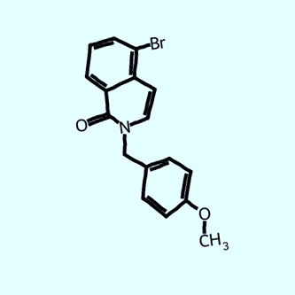 COc1ccc(Cn2ccc3c(Br)cccc3c2=O)cc1